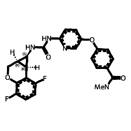 CNC(=O)c1ccc(Oc2ccc(NC(=O)N[C@@H]3[C@@H]4COc5c(F)ccc(F)c5[C@@H]43)nc2)cc1